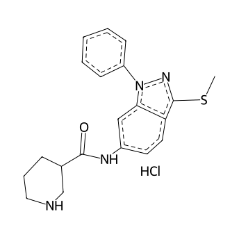 CSc1nn(-c2ccccc2)c2cc(NC(=O)C3CCCNC3)ccc12.Cl